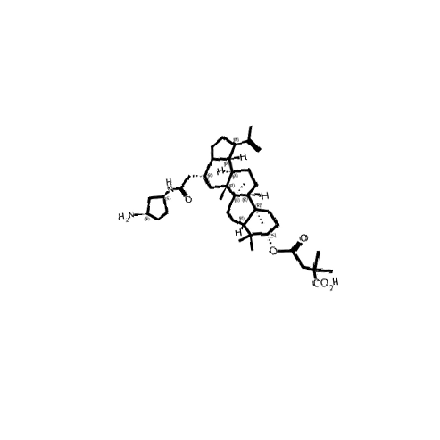 C=C(C)[C@@H]1CCC2[C@@H](CC(=O)N[C@H]3CC[C@@H](N)C3)C[C@]3(C)[C@H](CC[C@@H]4[C@@]5(C)CC[C@H](OC(=O)CC(C)(C)C(=O)O)C(C)(C)[C@@H]5CC[C@]43C)[C@H]21